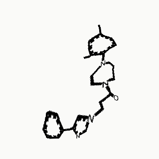 Cc1ccc(N2CCN(C(=O)CCn3cnc(-c4ccccc4)c3)CC2)c(C)c1